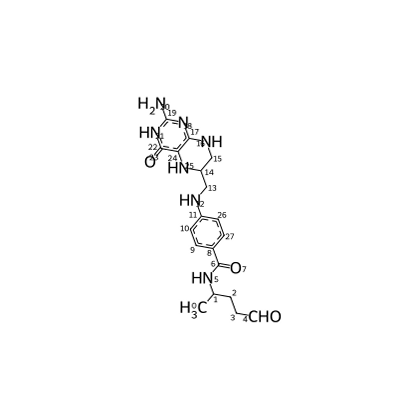 CC(CCC=O)NC(=O)c1ccc(NCC2CNc3nc(N)[nH]c(=O)c3N2)cc1